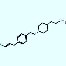 CCC[C@H]1CC[C@H](CCc2ccc(CC=CF)cc2)CC1